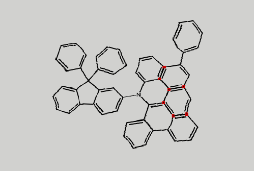 c1ccc(-c2ccc(-c3c(N(c4ccc5c(c4)C(c4ccccc4)(c4ccccc4)c4ccccc4-5)c4ccccc4-c4ccccc4)c4ccccc4c4ccccc34)cc2)cc1